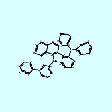 c1ccc(-c2cccc(-n3c4cccc(N(c5ccccc5)c5ccccc5)c4c4ccc5ccccc5c43)c2)cc1